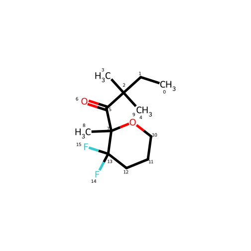 CCC(C)(C)C(=O)C1(C)OCCCC1(F)F